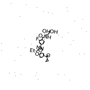 CC[C@@H](Oc1ccc(C(=O)C2CC2)cc1)c1nc(-c2ccc(C(=O)N[C@H](CO)CCO)c(F)c2)no1